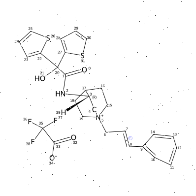 O=C(N[C@H]1C[N+]2(C/C=C/c3ccccc3)CCC1CC2)C(O)(c1cccs1)c1cccs1.O=C([O-])C(F)(F)F